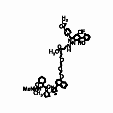 C=CC(=O)N1CCN(c2nc(NCCC(=O)N(C)CCOCCOCCOc3ccc(-c4csc([C@@H]5CCCN5C(=O)[C@@H](NC(=O)[C@H](C)NC)C5CCCCC5)n4)c4ccccc34)nc3c(F)c(-c4c(O)cccc4F)c(Cl)cc23)CC1